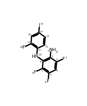 Nc1c(F)cc(F)c(F)c1Nc1ccc(I)cc1F